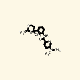 CN(C)c1ccc(C(=O)Nc2cccc(C3(C)CCSC(N)=N3)c2)nc1